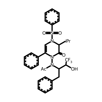 CC(=O)N(C(Cc1ccccc1)C(O)C(F)(F)F)N1C(=O)C(C(C)C)N(S(=O)(=O)c2ccccc2)C=C1c1ccccc1